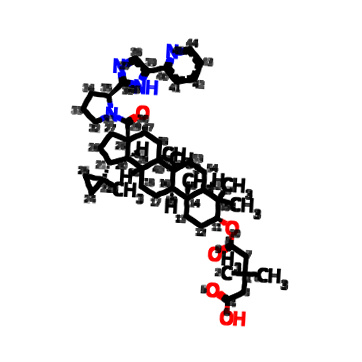 CC(C)(CC(=O)O)CC(=O)O[C@H]1CC[C@]2(C)[C@H]3CC[C@@H]4[C@H]5[C@H](C6(C)CC6)CC[C@]5(C(=O)N5CCC[C@H]5c5ncc(-c6ccccn6)[nH]5)CC[C@@]4(C)[C@]3(C)CC[C@H]2C1(C)C